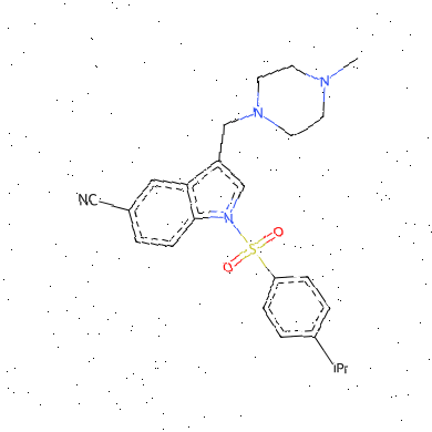 CC(C)c1ccc(S(=O)(=O)n2cc(CN3CCN(C)CC3)c3cc(C#N)ccc32)cc1